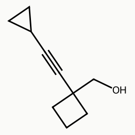 OCC1(C#CC2CC2)CCC1